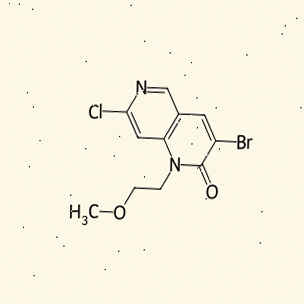 COCCn1c(=O)c(Br)cc2cnc(Cl)cc21